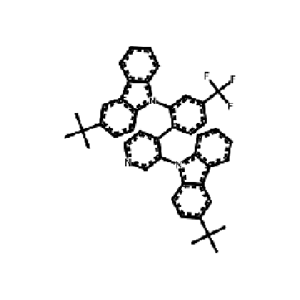 CC(C)(C)c1ccc2c(c1)c1ccccc1n2-c1cnccc1-c1ccc(C(F)(F)F)cc1-n1c2ccccc2c2cc(C(C)(C)C)ccc21